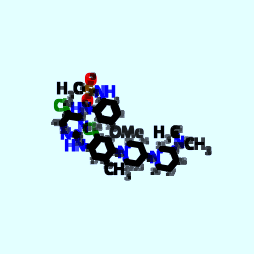 COc1ccc(NS(C)(=O)=O)c(Nc2nc(Nc3cc(C)c(N4CCC(N5CCCC(N(C)C)C5)CC4)cc3Cl)ncc2Cl)c1